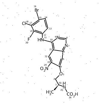 C[C@@H](COc1cc2ncnc(Nc3ccc(Br)c(Cl)c3F)c2cc1[N+](=O)[O-])NC(=O)O